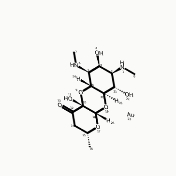 CN[C@@H]1[C@H](O)[C@H](NC)[C@H]2O[C@@]3(O)C(=O)C[C@@H](C)O[C@H]3O[C@@H]2[C@H]1O.[Au]